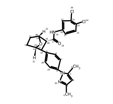 Cc1cc(C)n(-c2ccc(C3[C@@H]4CC[C@@H](O4)[C@@H]3C(=O)Nc3ccc(Cl)c(Cl)c3)cc2)n1